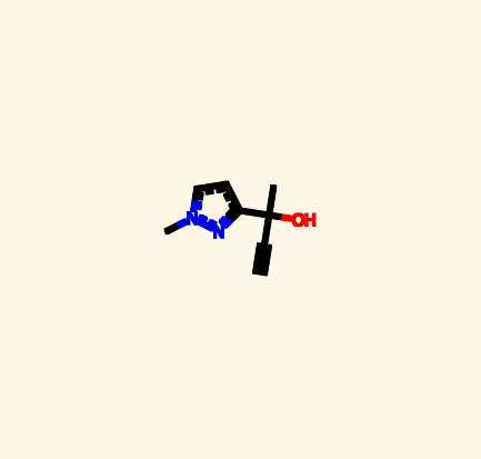 C#CC(C)(O)c1ccn(C)n1